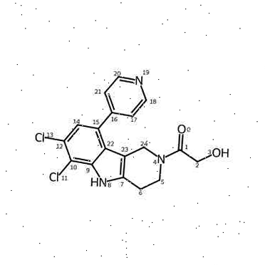 O=C(CO)N1CCc2[nH]c3c(Cl)c(Cl)cc(-c4ccncc4)c3c2C1